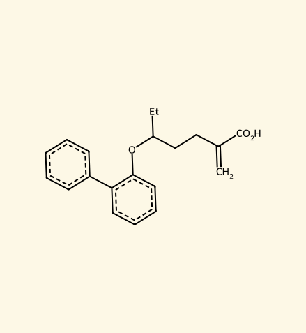 C=C(CCC(CC)Oc1ccccc1-c1ccccc1)C(=O)O